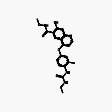 CCNC(=O)Nc1ccc(Oc2ccnc3cc(O)c(C(=O)NOC)cc23)cc1C